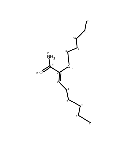 CCCCCC=C(SCCCCC)C(N)=O